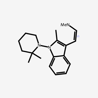 CN/C=C\c1c(C)n(N2CCCCC2(C)C)c2ccccc12